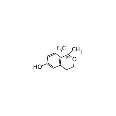 C[C@@]1(C(F)(F)F)OCCc2cc(O)ccc21